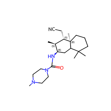 C[C@@H]1[C@H](NC(=O)N2CCN(C)CC2)CC2C(C)(C)CCC[C@]2(C)[C@H]1CC#N